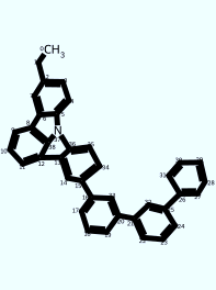 CCc1ccc2c(c1)c1cccc3c4cc(-c5cccc(-c6cccc(-c7ccccc7)c6)c5)ccc4n2c13